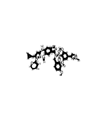 COc1ccc(CN(c2noc3cc(Nc4cc(C5CC5)n(C5CCCCO5)n4)c(OC)cc23)S(=O)(=O)c2c(OC)cc(-c3cnn(C)n3)cc2OC)cc1